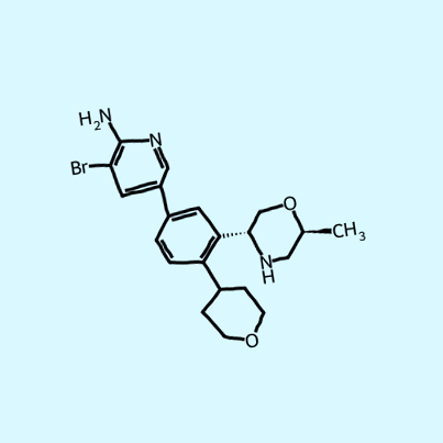 C[C@H]1CN[C@H](c2cc(-c3cnc(N)c(Br)c3)ccc2C2CCOCC2)CO1